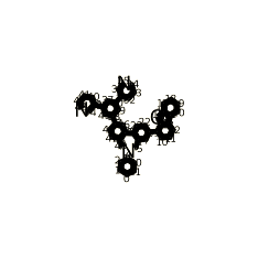 c1ccc(N2Cc3cc(-c4cccc5c4oc4ccccc45)ccc3-c3cc(-c4cc(-c5cccnc5)cc(-c5cccnc5)c4)ccc3C2)cc1